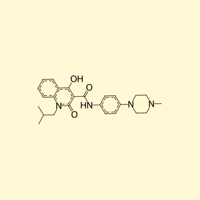 CC(C)Cn1c(=O)c(C(=O)Nc2ccc(N3CCN(C)CC3)cc2)c(O)c2ccccc21